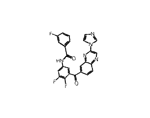 O=C(Nc1cc(F)c(F)c(C(=O)c2ccc3ncc(-n4ccnc4)nc3c2)c1)c1cccc(F)c1